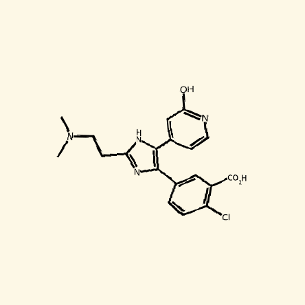 CN(C)CCc1nc(-c2ccc(Cl)c(C(=O)O)c2)c(-c2ccnc(O)c2)[nH]1